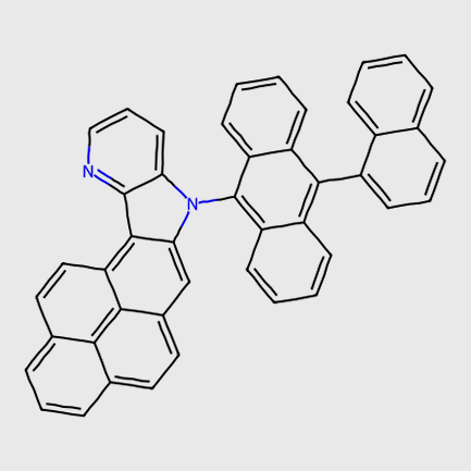 c1ccc2c(-c3c4ccccc4c(-n4c5cccnc5c5c6ccc7cccc8ccc(cc54)c6c87)c4ccccc34)cccc2c1